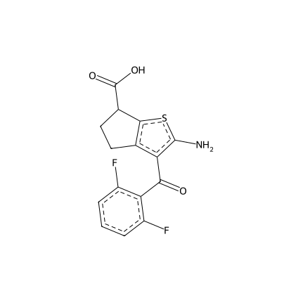 Nc1sc2c(c1C(=O)c1c(F)cccc1F)CCC2C(=O)O